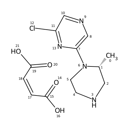 C[C@@H]1CNCCN1c1cncc(Cl)n1.O=C(O)/C=C\C(=O)O